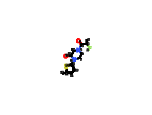 C=C(F)C(=O)N1CCN(c2ccc(C)s2)C(=O)C1